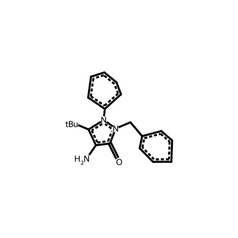 CC(C)(C)c1c(N)c(=O)n(Cc2ccccc2)n1-c1ccccc1